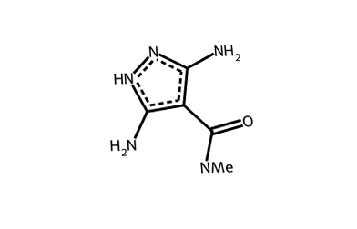 CNC(=O)c1c(N)n[nH]c1N